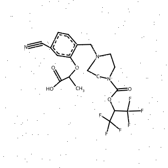 CC(Oc1cc(C#N)ccc1CN1CCN(C(=O)OC(C(F)(F)F)C(F)(F)F)CC1)C(=O)O